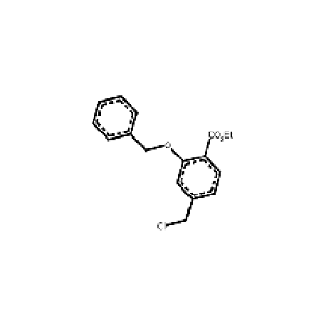 CCOC(=O)c1ccc(CCl)cc1OCc1ccccc1